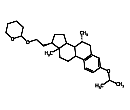 CC(C)Oc1ccc2c(c1)C[C@@H](C)C1C2CCC2(C)C1CC[C@@H]2CCOC1CCCCO1